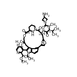 CCn1c(-c2cccnc2[C@H](C)OC)c2c3cc(ccc31)-c1csc(n1)C[C@H](NC(=O)[C@H](C(C)C)N(C)C(=O)N1CC(N)C1)C(=O)N1CCC[C@H](N1)C(=O)OCC(C)(C)C2